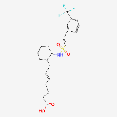 O=C(O)CCCC=CCC1CCCCC1NS(=O)(=O)C=Cc1cccc(C(F)(F)F)c1